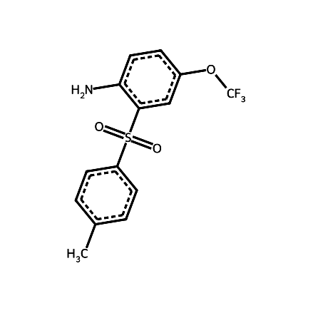 Cc1ccc(S(=O)(=O)c2cc(OC(F)(F)F)ccc2N)cc1